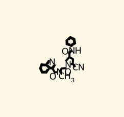 CN(CC(=O)N1CC(C(=O)Nc2ccccc2)CC1C#N)C(=O)c1cncc2ccccc12